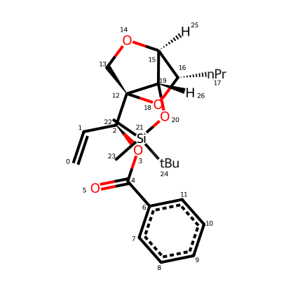 C=C[C@H](OC(=O)c1ccccc1)[C@@]12CO[C@@H]([C@H](CCC)O1)[C@@H]2O[Si](C)(C)C(C)(C)C